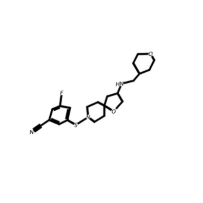 N#Cc1cc(F)cc(SN2CCC3(CC2)CC(NCC2CCOCC2)CO3)c1